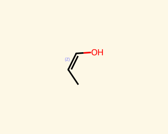 C/C=C\O